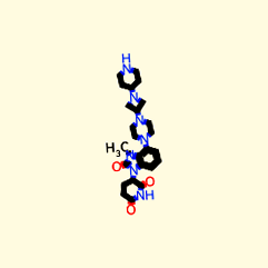 Cn1c(=O)n(C2CCC(=O)NC2=O)c2cccc(N3CCN(C4CN(C5CCNCC5)C4)CC3)c21